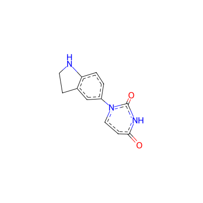 O=c1ccn(-c2ccc3c(c2)CCN3)c(=O)[nH]1